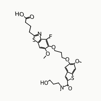 COc1cc2sc(C(=O)N(C)CCCO)cc2cc1OCCCOc1c(OC)cc2sc(CCCC(=O)O)nc2c1F